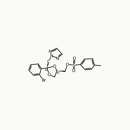 Cc1ccc(S(=O)(=O)OC[C@H]2CO[C@](Cn3nccn3)(c3ccccc3Br)O2)cc1